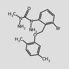 Cc1ccc(C)c(OCc2c(Br)cccc2N(N)C(=O)N(C)N)c1